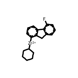 Fc1cccc2c1-c1ccc[c]([Zr+2][CH]3CCCCC3)c1C2